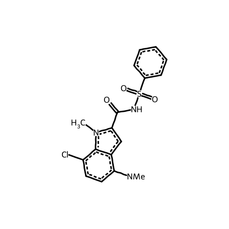 CNc1ccc(Cl)c2c1cc(C(=O)NS(=O)(=O)c1ccccc1)n2C